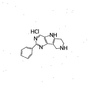 Cl.c1ccc(-c2ncc3[nH]c4c(c3n2)CNCC4)cc1